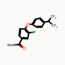 CNC(=O)c1ccc(Oc2ccc(C(C(F)(F)F)C(F)(F)F)cc2)c(F)c1